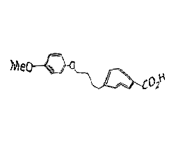 COc1ccc(OCCCc2ccc(C(=O)O)cc2)cc1